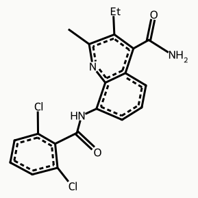 CCc1c(C)nc2c(NC(=O)c3c(Cl)cccc3Cl)cccc2c1C(N)=O